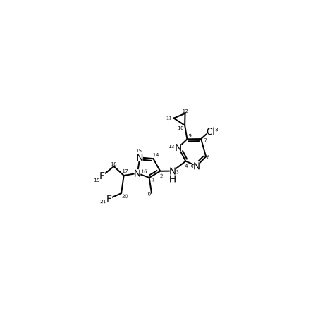 Cc1c(Nc2ncc(Cl)c(C3CC3)n2)cnn1C(CF)CF